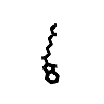 O=CNCCCCNc1nc2ccccc2[nH]1